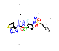 CCCS(=O)(=O)Nc1ccc(Cl)c(NC(=O)Nc2ncnc3sccc23)c1F